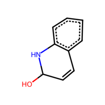 O[C]1C=Cc2ccccc2N1